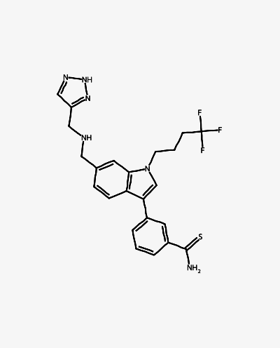 NC(=S)c1cccc(-c2cn(CCCC(F)(F)F)c3cc(CNCc4cn[nH]n4)ccc23)c1